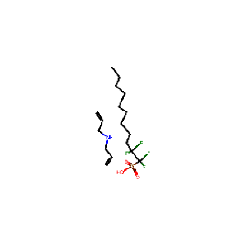 C=CCNCC=C.CCCCCCCCCC(F)(F)C(F)(F)S(=O)(=O)O